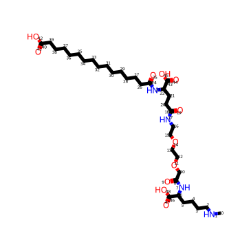 CNCCCCC(NC(=O)COCCOCCNC(=O)CCC(NC(=O)CCCCCCCCCCCCCCC(=O)O)C(=O)O)C(=O)O